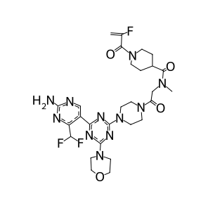 C=C(F)C(=O)N1CCC(C(=O)N(C)CC(=O)N2CCN(c3nc(-c4cnc(N)nc4C(F)F)nc(N4CCOCC4)n3)CC2)CC1